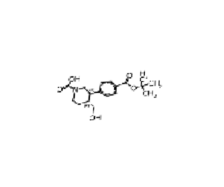 CC(C)(C)OC(=O)c1ccc([C@@H]2CN(C(=O)O)CC[C@H]2CO)cc1